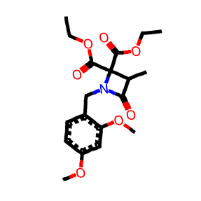 CCOC(=O)C1(C(=O)OCC)C(C)C(=O)N1Cc1ccc(OC)cc1OC